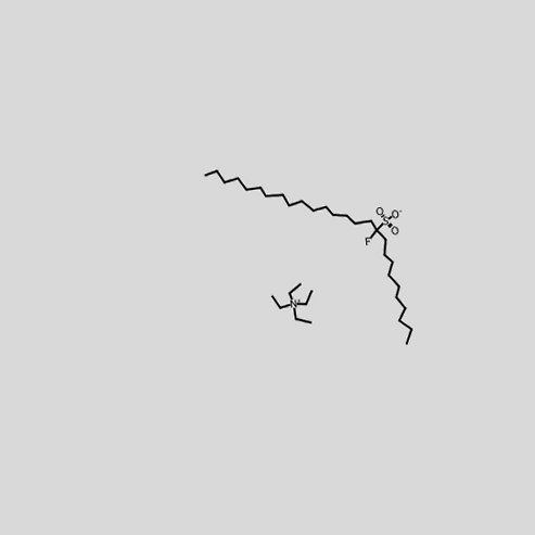 CCCCCCCCCCCCCCCCC(F)(CCCCCCCCCC)S(=O)(=O)[O-].CC[N+](CC)(CC)CC